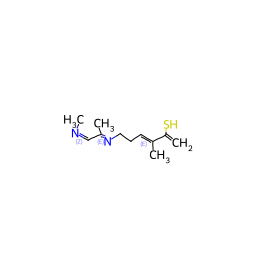 C=C(S)/C(C)=C/CC/N=C(C)/C=N\C